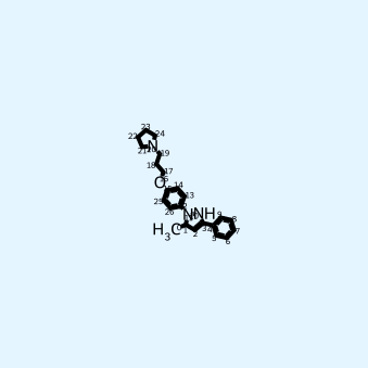 CC1C=C(c2ccccc2)NN1c1ccc(OCCCN2CCCC2)cc1